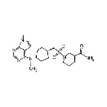 CN(c1ncnc2[nH]ccc12)[C@H]1CC[C@H](CS(=O)(=O)N2CCCC(C(N)=O)C2)CC1